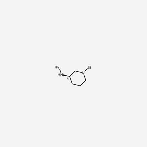 CCN1CCC[C@@H](NC(C)C)C1